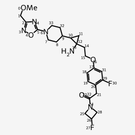 COCc1noc(N2CCC(C3CC3(N)CCOc3ccc(CC(=O)N4CC(F)C4)c(F)c3)CC2)n1